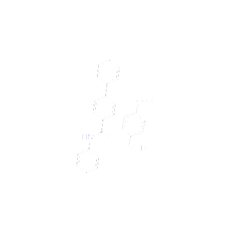 O=C(Nc1ccccc1)c1ccc(-c2ccccc2)cc1.O=C(O)c1ccc(C(=O)O)cc1